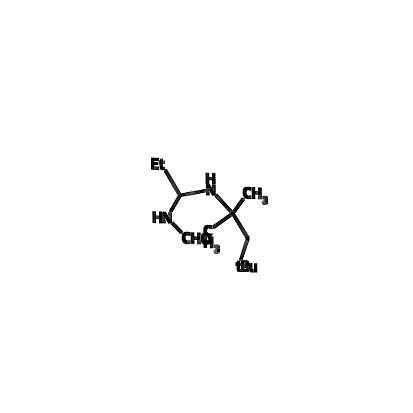 CCC(N[C]=O)NC(C)(C)CC(C)(C)C